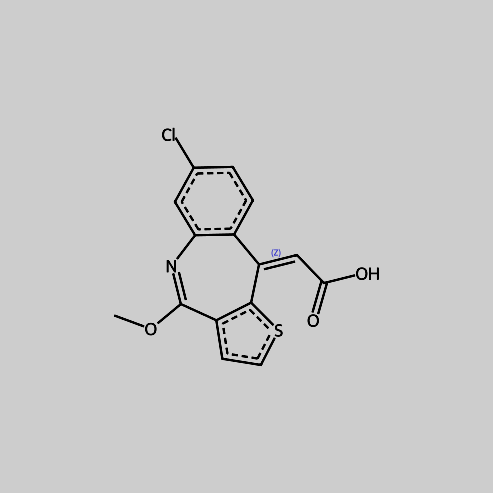 COC1=Nc2cc(Cl)ccc2/C(=C/C(=O)O)c2sccc21